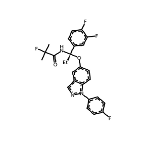 CC[C@](NC(=O)C(C)(C)F)(Oc1ccc2c(cnn2-c2ccc(F)cc2)c1)c1ccc(F)c(F)c1